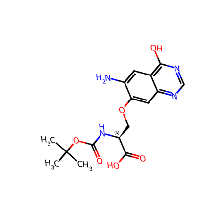 CC(C)(C)OC(=O)N[C@@H](COc1cc2ncnc(O)c2cc1N)C(=O)O